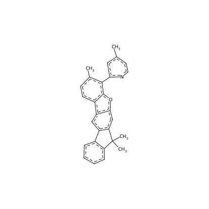 Cc1ccnc(-c2c(C)ccc3c2oc2cc4c(cc23)-c2ccccc2C4(C)C)c1